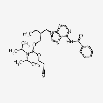 CCC(COP(OCCC#N)N(C(C)C)C(C)C)Cn1cnc2c(NC(=O)c3ccccc3)ncnc21